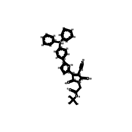 CC(C)(C)OC(=O)CN1C(=O)C(C#N)=C(c2ccc(-c3ccc(N(c4ccccc4)c4ccccc4)cc3)s2)C1=O